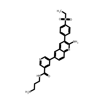 CCS(=O)(=O)c1ccc(-c2cc3cc(-c4cncc(C(=O)NCCCN)c4)ccc3nc2N)cc1